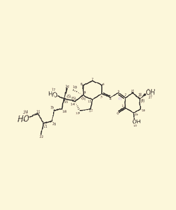 C=C1/C(=C\C=C2CCC[C@@]3(C)C2CC[C@@H]3[C@@](C)(O)CCCC(C)CO)C[C@@H](O)CC1O